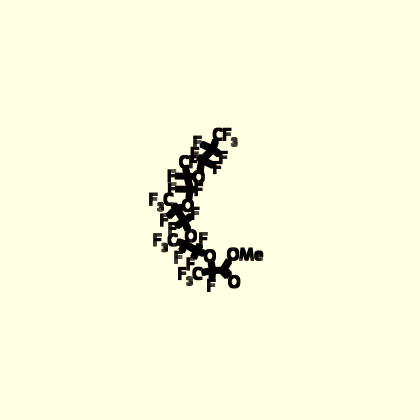 COC(=O)C(F)(OC(F)(F)C(F)(OC(F)(F)C(F)(OC(F)(F)C(F)(OC(F)(F)C(F)(F)C(F)(F)F)C(F)(F)F)C(F)(F)F)C(F)(F)F)C(F)(F)F